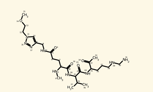 CNC(CCC(=O)NCc1cn(CCOC)nn1)C(=O)NC(C(=O)NC(CCCNCN)C(C)=O)C(C)C